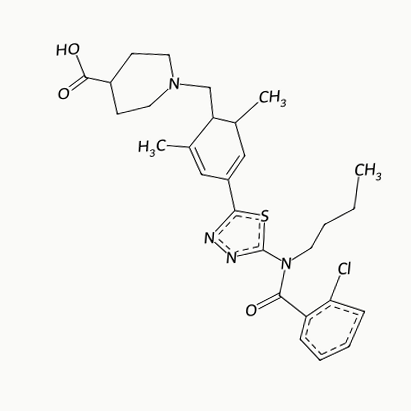 CCCCN(C(=O)c1ccccc1Cl)c1nnc(C2=CC(C)C(CN3CCC(C(=O)O)CC3)C(C)=C2)s1